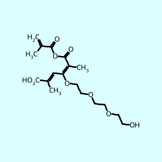 C=C(C)C(=O)OC(=O)C(C)=C(C=C(C)C(=O)O)OCCOCCOCCO